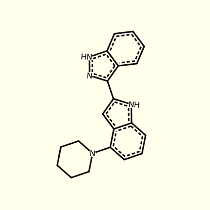 c1cc(N2CCCCC2)c2cc(-c3n[nH]c4ccccc34)[nH]c2c1